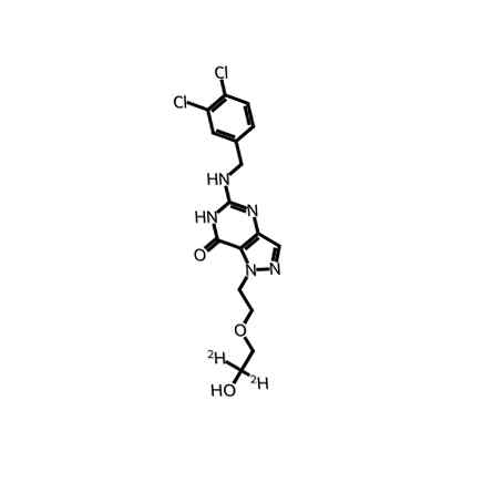 [2H]C([2H])(O)COCCn1ncc2nc(NCc3ccc(Cl)c(Cl)c3)[nH]c(=O)c21